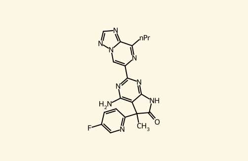 CCCc1nc(-c2nc(N)c3c(n2)NC(=O)C3(C)c2ccc(F)cn2)cn2ncnc12